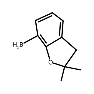 Bc1cccc2c1OC(C)(C)C2